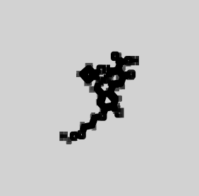 COCCCOc1cc2c(cc1Cl)-c1cc(=O)c(C(=O)O)cn1N(C1(C)CCC1)C2